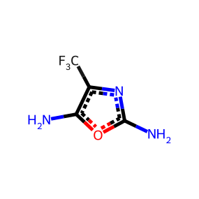 Nc1nc(C(F)(F)F)c(N)o1